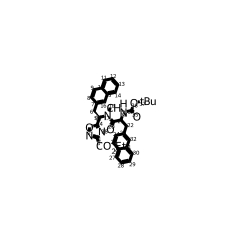 CCOC(=O)c1noc([C@@H](Cc2ccc3ccccc3c2)N(C)C(=O)C(Cc2ccc3ccccc3c2)NC(=O)OC(C)(C)C)n1